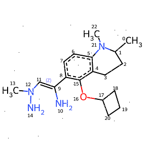 CC1CCc2c(ccc(/C(N)=C/N(C)N)c2OC2CCC2)N1C